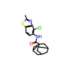 Cc1nc2c(Cl)c(NC(=O)C34CC5CC(CC(C5)C3)C4)ccc2s1